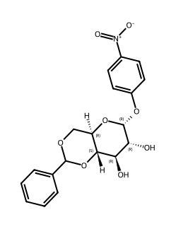 O=[N+]([O-])c1ccc(O[C@H]2O[C@@H]3COC(c4ccccc4)O[C@H]3[C@H](O)[C@H]2O)cc1